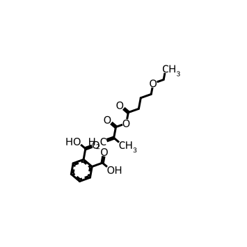 C=C(C)C(=O)OC(=O)CCCOCC.O=C(O)c1ccccc1C(=O)O